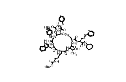 C[C@@H](O)C1NC(=O)C(CCCCNC(=O)OC(C)(C)C)NC(=O)[C@@H](Cc2c[nH]c3ccccc23)NC(=O)[C@H](Cc2ccc(O)cc2)NC(=O)[C@@H](NC(=O)[C@@H](Cc2ccccc2)NC(=O)OC(C)(C)C)CSSC[C@@H](C(=O)N[C@@H](CSSc2ccccn2)C(=O)NC2CCCCC2)NC1=O